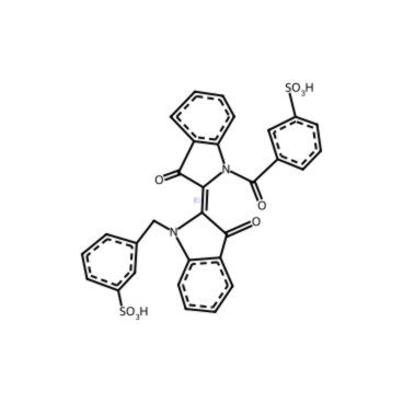 O=C1/C(=C2/C(=O)c3ccccc3N2C(=O)c2cccc(S(=O)(=O)O)c2)N(Cc2cccc(S(=O)(=O)O)c2)c2ccccc21